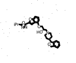 CC(C)c1nnc(-c2cc3c(OC[C@@H](O)CN4CCC(C5OCc6ccccc65)CC4)cccc3o2)o1